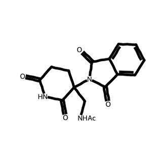 CC(=O)NCC1(N2C(=O)c3ccccc3C2=O)CCC(=O)NC1=O